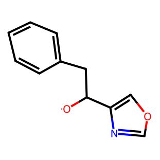 [O]C(Cc1ccccc1)c1cocn1